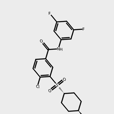 O=C(Nc1cc(F)cc(F)c1)c1ccc(Cl)c(S(=O)(=O)[C@H]2CC[C@H](O)CC2)c1